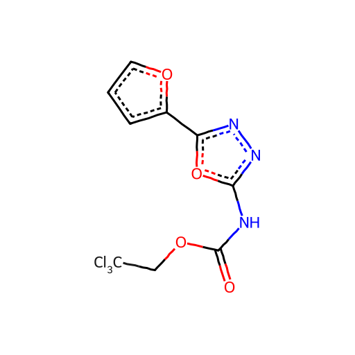 O=C(Nc1nnc(-c2ccco2)o1)OCC(Cl)(Cl)Cl